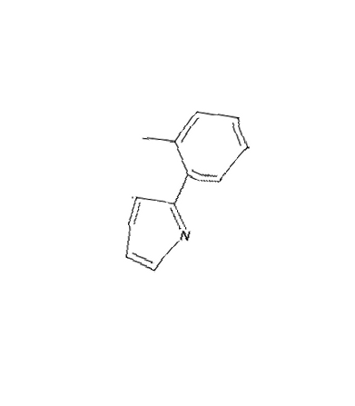 Cc1ccccc1-c1[c]cccn1